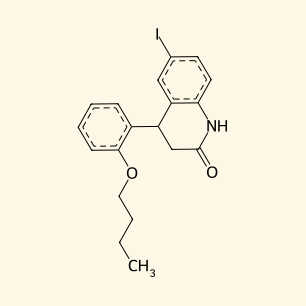 CCCCOc1ccccc1C1CC(=O)Nc2ccc(I)cc21